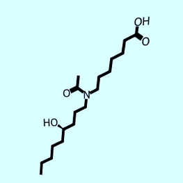 CCCCC[C@@H](O)CCCN(CCCCCCC(=O)O)C(C)=O